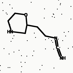 N=C=NCCC1CNCCO1